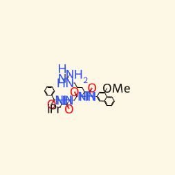 COc1cc(NC(=O)C(CCCNC(=N)N)NC(=O)CNC(=O)C(NC(=O)c2ccccc2)C(C)C)cc2ccccc12